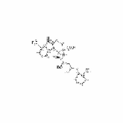 CCC(C)[C@H](NC(=O)Cc1ccccc1C(F)(F)F)C(=O)N[C@]1(C(=O)O)CCc2[nH]c3c(C(F)(F)F)cccc3c2C1